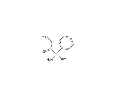 CCCC(N)(C(=O)OC(C)(C)C)c1ccccc1